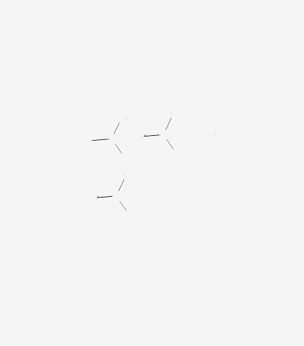 [Ca+2].[Gd+3].[O+2].[O-]B(O)O.[O-]B([O-])[O-].[O-]B([O-])[O-]